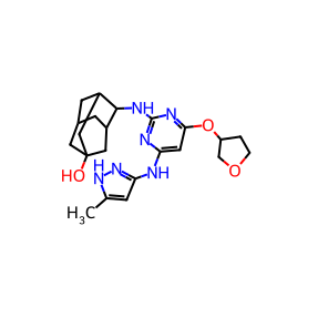 Cc1cc(Nc2cc(OC3CCOC3)nc(NC3C4CC5CC3CC(O)(C5)C4)n2)n[nH]1